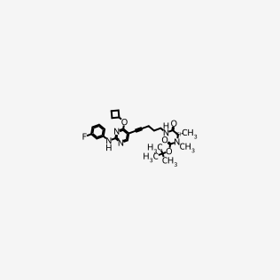 C[C@@H](C(=O)NCCCC#Cc1cnc(Nc2cccc(F)c2)nc1OC1CCC1)N(C)C(=O)OC(C)(C)C